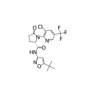 CC(C)(C)c1cc(NC(=O)[C@@H]2CCC(=O)N2c2ncc(C(F)(F)F)cc2Cl)no1